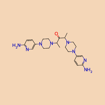 CC(C(=O)C(C)N1CCN(c2ccc(N)nc2)CC1)N1CCN(c2ccc(N)nc2)CC1